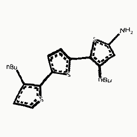 CCCCc1ccsc1-c1ccc(-c2sc(N)cc2CCCC)s1